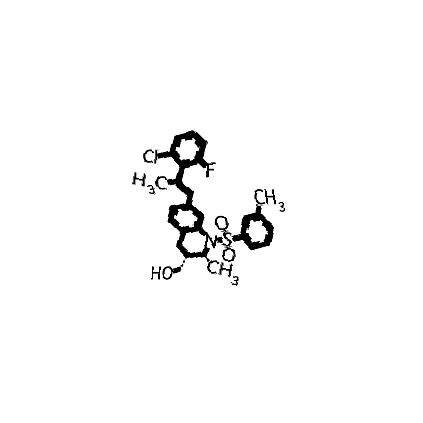 C/C(=C\c1ccc2c(c1)N(S(=O)(=O)c1cccc(C)c1)[C@H](C)[C@H](CO)C2)c1c(F)cccc1Cl